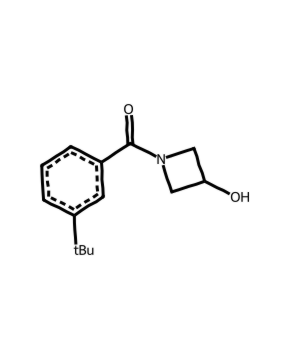 CC(C)(C)c1cccc(C(=O)N2CC(O)C2)c1